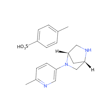 Cc1ccc(N2C[C@@H]3C[C@H]2CN3)cn1.Cc1ccc(S(=O)(=O)O)cc1